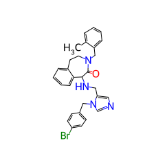 Cc1ccccc1CN1CCc2ccccc2C(NCc2cncn2Cc2ccc(Br)cc2)C1=O